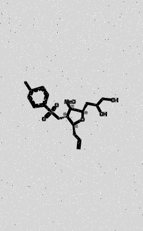 C=CC[C@@H]1O[C@H](CC(O)CO)[C@H](OC)[C@H]1CS(=O)(=O)c1ccc(C)cc1